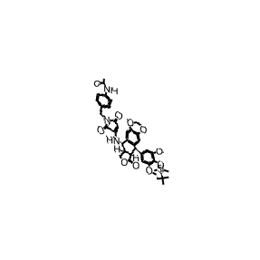 COc1cc([C@@H]2c3cc4c(cc3[C@@H](NC3=CC(=O)N(Cc5ccc(NC(C)=O)cc5)C3=O)[C@H]3COC(=O)[C@H]23)OCO4)cc(OC)c1O[Si](C)(C)C(C)(C)C